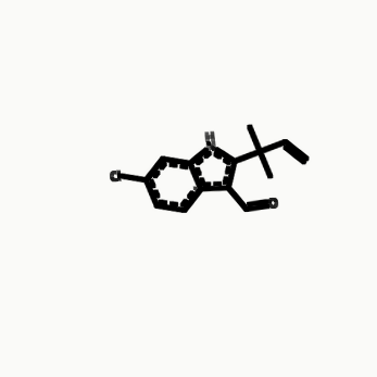 C=CC(C)(C)c1[nH]c2cc(Cl)ccc2c1C=O